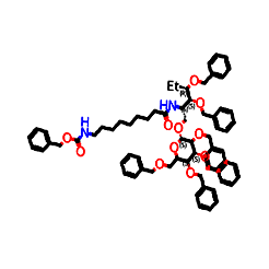 CC[C@@H](OCc1ccccc1)[C@@H](OCc1ccccc1)[C@H](CO[C@H]1OC(COCc2ccccc2)[C@H](OCc2ccccc2)[C@H](OCc2ccccc2)C1OCc1ccccc1)NC(=O)CCCCCCCCNC(=O)OCc1ccccc1